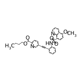 CCCCOC(=O)c1ccc(C#Cc2ccccc2NS(=O)(=O)c2ccc(OC)c3cccnc23)cn1